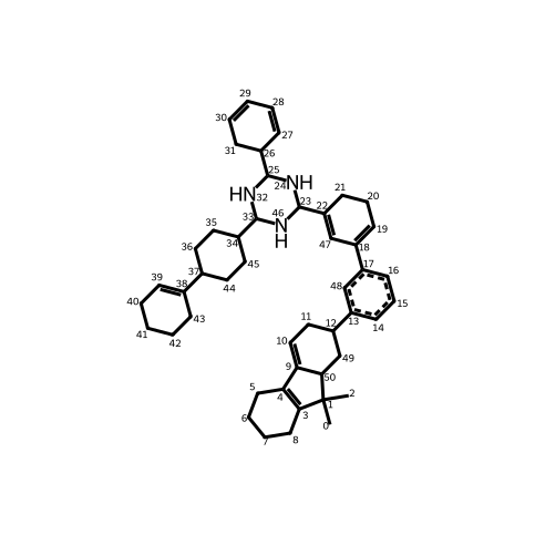 CC1(C)C2=C(CCCC2)C2=CCC(c3cccc(C4=CCCC(C5NC(C6C=CC=CC6)NC(C6CCC(C7=CCCCC7)CC6)N5)=C4)c3)CC21